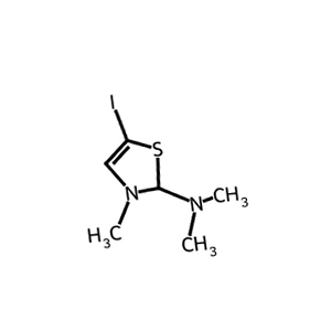 CN(C)C1SC(I)=CN1C